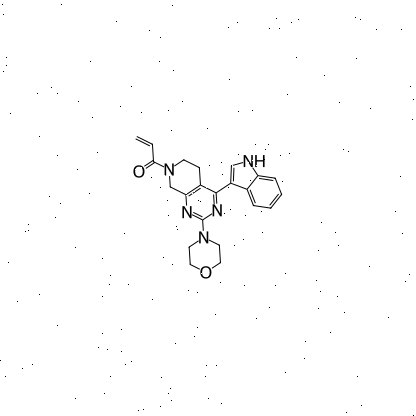 C=CC(=O)N1CCc2c(nc(N3CCOCC3)nc2-c2c[nH]c3ccccc23)C1